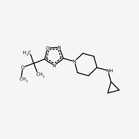 COC(C)(C)c1nc(N2CCC(NC3CC3)CC2)no1